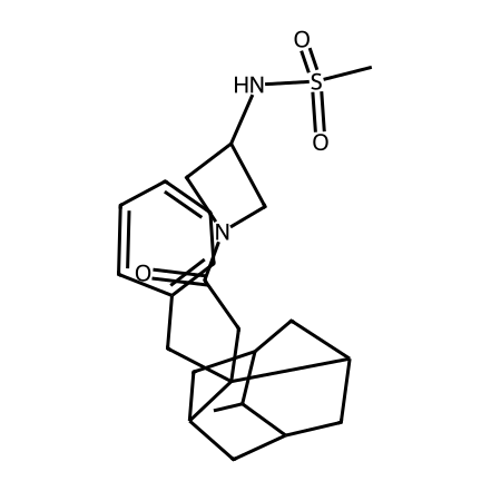 CC1C2CC3CC1CC(C2)C3(CC(=O)N1CC(NS(C)(=O)=O)C1)Cc1ccccc1